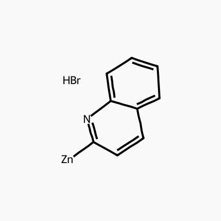 Br.[Zn][c]1ccc2ccccc2n1